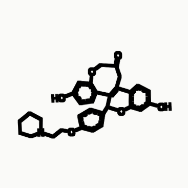 O=C1COc2cc(O)ccc2C2=C(C1)c1ccc(O)cc1OC2c1ccc(OCCN2CCCCC2)cc1